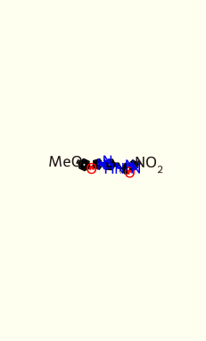 COc1ccc(OC2CCN(c3ccc(CN[C@@H]4COc5nc([N+](=O)[O-])cn5C4)cn3)C2)cc1